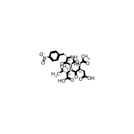 CC(=O)N[C@@H](CC(=O)O)C(=O)N([C@H](C(=O)O)C(C)C)N1C(=O)N[C@@H](Cc2ccc([N+](=O)[O-])cc2)C1=O